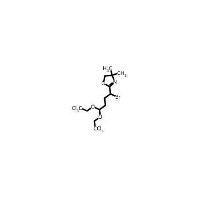 CC1(C)COC(C(Br)CCC(OCC(Cl)(Cl)Cl)OCC(Cl)(Cl)Cl)=N1